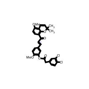 COc1ccc(/C=C/C(=O)c2ccc(OC)c3c2OC(C)(C)C=C3)cc1OC(=O)Cc1ccc(Cl)c(Cl)c1